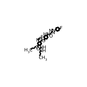 CCCCNC(=O)Nc1cc2c(Oc3ccc(NC(=O)c4ncn(-c5ccc(F)cc5)n4)cc3F)ncnc2cc1OCCCC